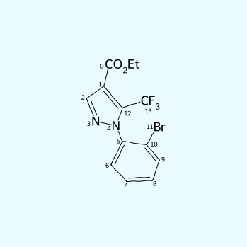 CCOC(=O)c1cnn(-c2ccccc2Br)c1C(F)(F)F